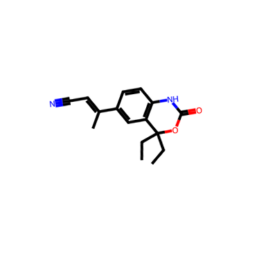 CCC1(CC)OC(=O)Nc2ccc(/C(C)=C/C#N)cc21